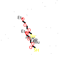 CCC[CH2][Sn][CH2]CCC.CCOCCOCCOC(=O)CS.CCOCCOCCOC(=O)CS